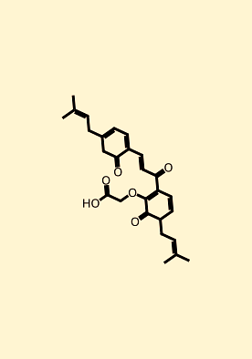 CC(C)=CCC1=CC=C(C=CC(=O)C2=C(OCC(=O)O)C(=O)C(CC=C(C)C)C=C2)C(=O)C1